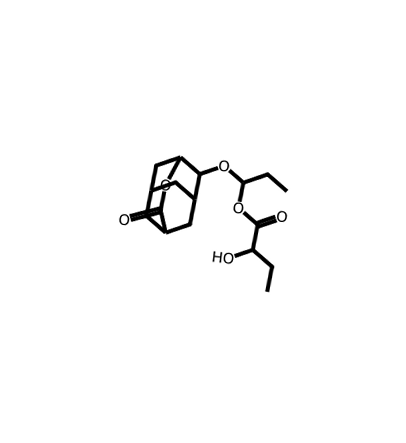 CCC(OC(=O)C(O)CC)OC1C2CC3CC(C2)C(=O)OC1C3